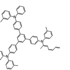 C=C/C=C\C=C(/C)N(c1ccc(-c2cc(-c3ccc(N(c4ccccc4)c4cccc(C)c4)cc3)cc(-c3ccc(N(c4ccccc4)c4cccc(C)c4)cc3)c2)cc1)c1cccc(C)c1